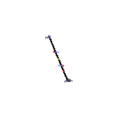 CCN(CCCCCCCCCCCCCCCC(=O)NCCCCCCSSCCCCCCNC(=O)CCCCCCCCCCCCCCC[N+](CC)(CC(C)C)C(C)C)C(C)C